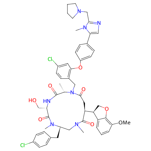 COc1cccc2c1OC[C@@H]2[C@@H]1CC(=O)N(Cc2ccc(Cl)cc2Oc2ccc(-c3cnc(CN4CCCC4)n3C)cc2)[C@@H](C)C(=O)N[C@@H](CO)C(=O)N(C)[C@H](Cc2ccc(Cl)cc2)CN(C)C1=O